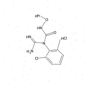 CCCONC(=O)N(C(=N)N)c1c(C)cccc1Cl.Cl